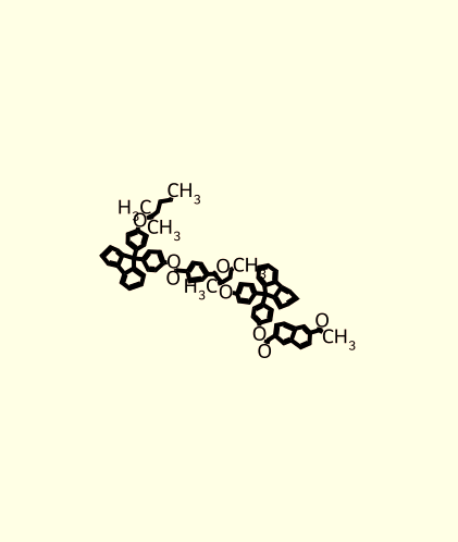 CCCCC(C)(C)Oc1ccc(C2(c3ccc(OC(=O)c4ccc(C(=O)C(C)(CCC)Oc5ccc(C6(c7ccc(OC(=O)c8ccc9cc(C(C)=O)ccc9c8)cc7)c7ccccc7-c7ccccc76)cc5)cc4)cc3)c3ccccc3-c3ccccc32)cc1